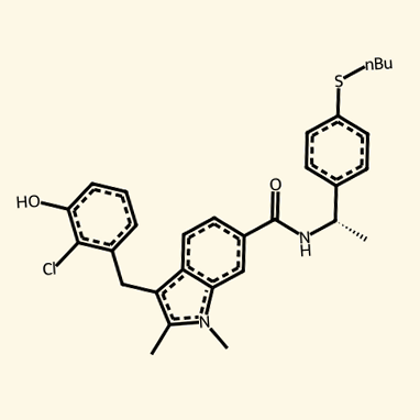 CCCCSc1ccc([C@H](C)NC(=O)c2ccc3c(Cc4cccc(O)c4Cl)c(C)n(C)c3c2)cc1